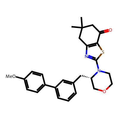 COc1ccc(-c2cccc(C[C@H]3COCCN3c3nc4c(s3)C(=O)CC(C)(C)C4)c2)cc1